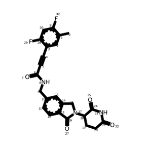 Cc1cc(C#CC(=O)NCc2ccc3c(c2)CN(C2CCC(=O)NC2=O)C3=O)c(F)cc1F